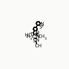 C#Cc1nc(N(C)C(=O)N(C)[C@@H](CO)c2ccc(-c3cccc4ncsc34)cc2)cs1